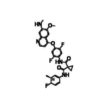 CNc1cc2nccc(Oc3cc(F)c(NC(=O)C4(C(=O)NC5=C[C@H](C)C(F)C=C5)CC4)cc3F)c2cc1OC